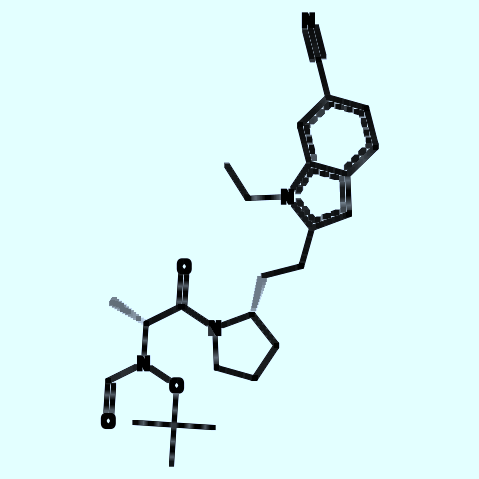 CCn1c(CC[C@@H]2CCCN2C(=O)[C@@H](C)N(C=O)OC(C)(C)C)cc2ccc(C#N)cc21